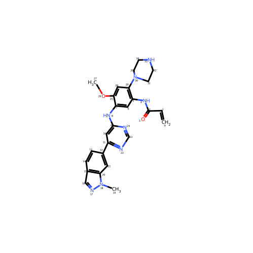 C=CC(=O)Nc1cc(Nc2cc(-c3ccc4cnn(C)c4c3)ncn2)c(OC)cc1N1CCNCC1